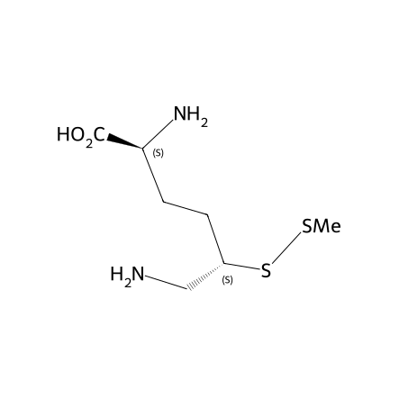 CSS[C@H](CN)CC[C@H](N)C(=O)O